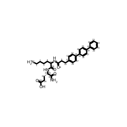 NCCCCC(NC(=O)CCc1ccc(-c2ccc(-c3ccccc3)cc2)cc1)C(=O)N[C@@H](CCC(=O)O)C(N)=O